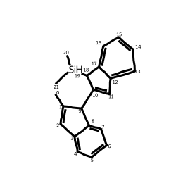 CC1=Cc2ccccc2C1C1=Cc2ccccc2C1[SiH](C)C